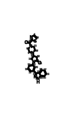 O=C(c1nccs1)N1CCN(C2CC(=O)N(c3cccc(-c4n[nH]c5ccccc45)c3)C2)CC1